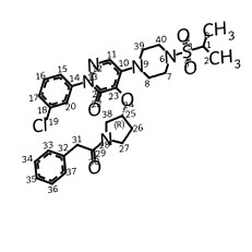 CC(C)S(=O)(=O)N1CCN(c2cnn(-c3cccc(Cl)c3)c(=O)c2O[C@@H]2CCN(C(=O)Cc3ccccc3)C2)CC1